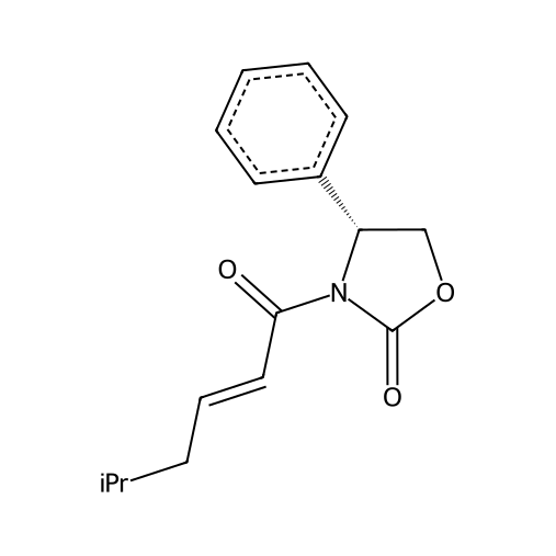 CC(C)C/C=C/C(=O)N1C(=O)OC[C@H]1c1ccccc1